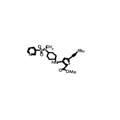 COC(=O)c1sc(C#CC(C)(C)C)cc1NC1CCC(N(C)S(=O)(=O)c2cccnc2)CC1